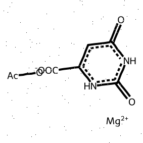 CC(=O)[O-].O=C([O-])c1cc(=O)[nH]c(=O)[nH]1.[Mg+2]